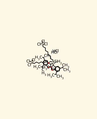 CC1=Cc2c(C(C)C)cc(C(C)C)cc2[CH]1[Zr](=[SiH2])([CH2]CCCCCCC[Si](Cl)(Cl)Cl)([CH2]CCCCCCC[Si](Cl)(Cl)Cl)[CH]1C(C)=Cc2c(C(C)C)cc(C(C)C)cc21.Cl.Cl